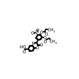 CCC(=O)Oc1cc(-c2nc3cc(C(=O)O)ccc3oc2=O)cc([N+](=O)[O-])c1OC(=O)CC